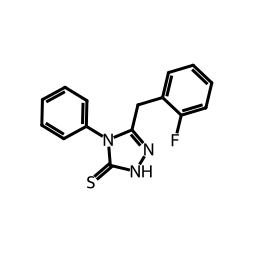 Fc1ccccc1Cc1n[nH]c(=S)n1-c1ccccc1